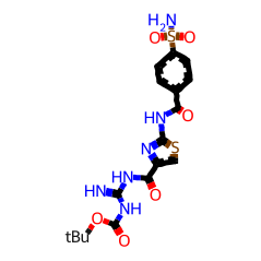 CC(C)(C)OC(=O)NC(=N)NC(=O)c1csc(NC(=O)c2ccc(S(N)(=O)=O)cc2)n1